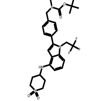 CN(Cc1ccc(-c2cc3c(NC4CCS(=O)(=O)CC4)cccc3n2CC(F)(F)F)cc1)C(=O)OC(C)(C)C